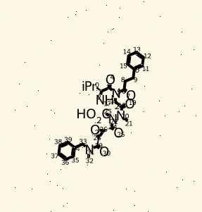 CC(C)[C@H](N)C(=O)N(C(=O)CCc1ccccc1)[C@@H](C)C(=O)N(C)N(C(=O)O)C(=O)[C@H]1O[C@@H]1C(=O)N(C)Cc1ccccc1